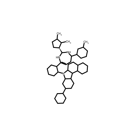 CC1CCCC(C2CC=C(C3CCCCC3N3C4CC(C5CCCCC5)CCC4C4C5CCCCC5CCC43)NC([C@H]3CCC(C)C3C)N2)C1